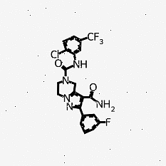 NC(=O)c1c(-c2cccc(F)c2)nn2c1CN(C(=O)Nc1cc(C(F)(F)F)ccc1Cl)CC2